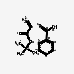 C=CC(=O)OC(C)(C)C.O=C(O)c1ccccn1